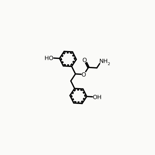 NCC(=O)OC(Cc1cccc(O)c1)c1cccc(O)c1